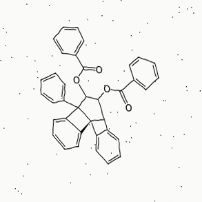 O=C(OC1C(OC(=O)c2ccccc2)C2(c3ccccc3)c3ccccc3[C@@]23c2ccccc2C13)c1ccccc1